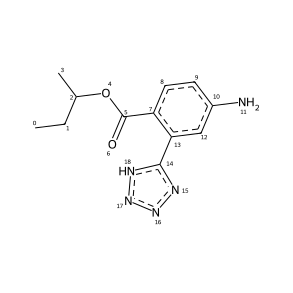 CCC(C)OC(=O)c1ccc(N)cc1-c1nnn[nH]1